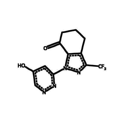 O=C1CCCc2c(C(F)(F)F)nn(-c3cc(O)cnn3)c21